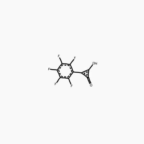 O=c1c(O)c1-c1c(F)c(F)c(F)c(F)c1F